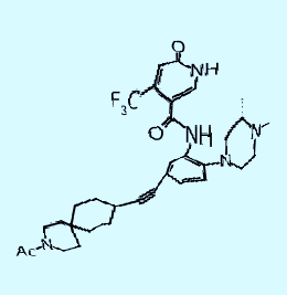 CC(=O)N1CCC2(CCC(C#Cc3ccc(N4CCN(C)[C@@H](C)C4)c(NC(=O)c4c[nH]c(=O)cc4C(F)(F)F)c3)CC2)CC1